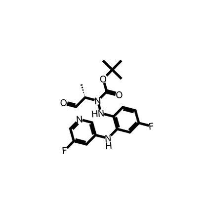 C[C@@H](C=O)N(Nc1ccc(F)cc1Nc1cncc(F)c1)C(=O)OC(C)(C)C